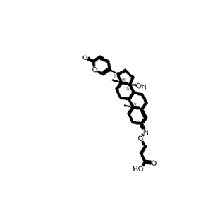 C[C@]12CCC(=NOCCC(=O)O)C=C1CCC1C2CC[C@]2(C)[C@@H](c3ccc(=O)oc3)CC[C@]12O